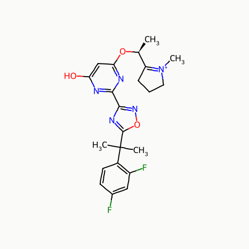 C[C@H](Oc1cc(O)nc(-c2noc(C(C)(C)c3ccc(F)cc3F)n2)n1)C1=[N+](C)CCC1